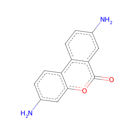 Nc1ccc2c(c1)oc(=O)c1cc(N)ccc12